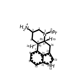 CCCN1CC(N)C[C@@H]2c3cccc4[nH]cc(c34)C[C@H]21